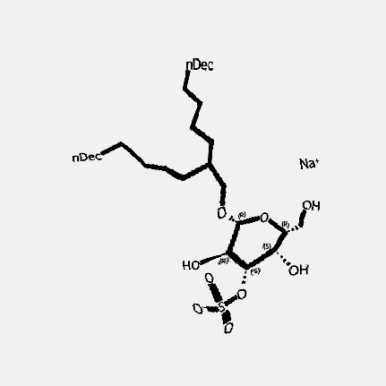 CCCCCCCCCCCCCCC(CCCCCCCCCCCCCC)CO[C@@H]1O[C@H](CO)[C@H](O)[C@H](OS(=O)(=O)[O-])[C@H]1O.[Na+]